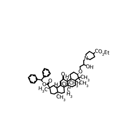 CCOC(=O)C1CCN(CC(O)CO[C@H]2CC[C@]3(C)[C@H]4C(=O)C=C5[C@@H]6C[C@@](C)(C(=O)OC(c7ccccc7)c7ccccc7)CC[C@]6(C)CC[C@@]5(C)[C@]4(C)CC[C@H]3C2(C)C)CC1